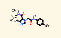 CNc1ncn(CC(=O)Nc2ccc(C(C)C)cc2)c1C(=O)N(C)C=O